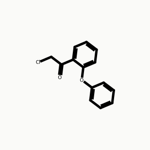 O=C(CCl)c1ccccc1Oc1ccccc1